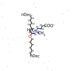 CCCCCCCCCCCCCCCCOC(CCCCCCCCCCCCCCCC)C[N+](C)(C)CCCC(=O)[O-]